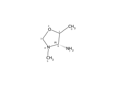 CC1OCN(C)[C@H]1N